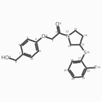 O=C(COc1ccc(CO)cc1)N1CCC(Sc2ccccc2F)C1